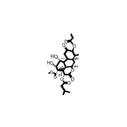 CCC(=O)OC1=C(C)[C@@H]2C[C@H]3OC(=O)[C@H](OC(=O)C=C(C)C)[C@H]4[C@]5(C(=O)OC)OC[C@]34C([C@@H](O)[C@@H]5O)[C@@]2(C)CC1=O